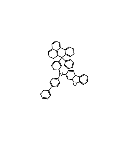 C1=CCCC(c2ccc(N(C3=CC4Oc5ccccc5C4C=C3)C3C=C(C4(c5ccccc5)C5=c6c(cccc6=CCC5)-c5ccccc54)C=CC3)cc2)=C1